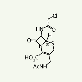 CC(=O)NCC1=C(C(=O)O)N2C(=O)C(NC(=O)CCl)[C@@H]2SC1